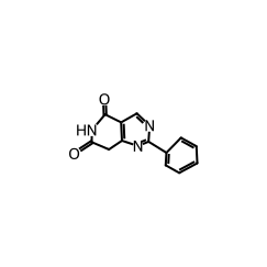 O=C1Cc2nc(-c3ccccc3)ncc2C(=O)N1